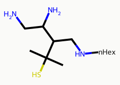 CCCCCCNCC(C(N)CN)C(C)(C)S